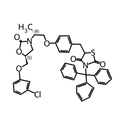 C[C@H](COc1ccc(CC2SC(=O)N(C(c3ccccc3)(c3ccccc3)c3ccccc3)C2=O)cc1)N1C[C@@H](COc2cccc(Cl)c2)OC1=O